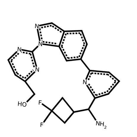 NC(c1cccc(-c2ccc3cnn(-c4nccc(CO)n4)c3c2)n1)C1CC(F)(F)C1